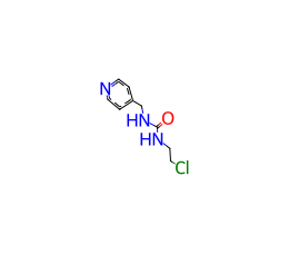 O=C(NCCCl)NCc1ccncc1